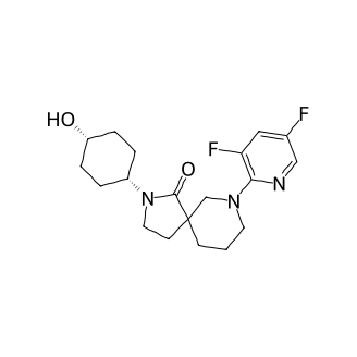 O=C1N([C@H]2CC[C@@H](O)CC2)CCC12CCCN(c1ncc(F)cc1F)C2